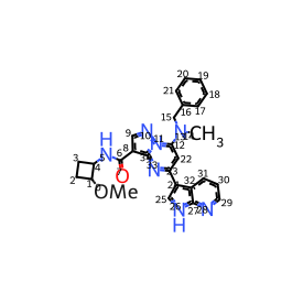 COC1CCC1NC(=O)c1cnn2c(N(C)Cc3ccccc3)cc(-c3c[nH]c4ncccc34)nc12